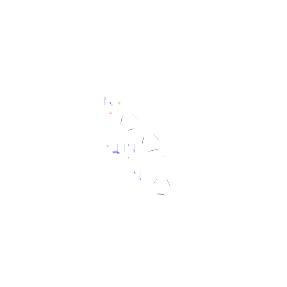 CC(C)Oc1cccc(CN2CCC(C#N)(Nc3cc(F)ccc3-c3ccc(S(=O)(=O)N(C)C)cc3)CC2)c1